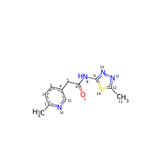 Cc1ccc(CC(=O)Nc2nnc(C)s2)cn1